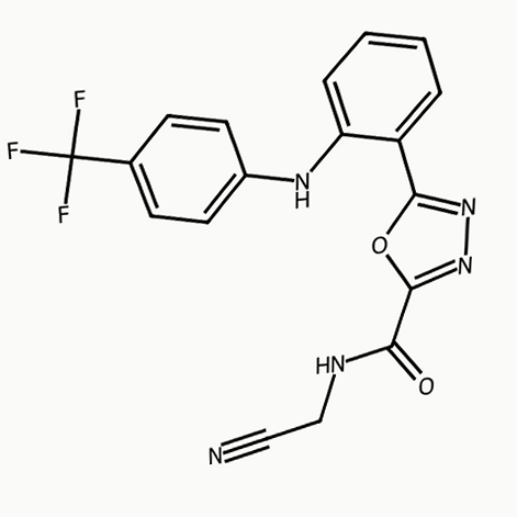 N#CCNC(=O)c1nnc(-c2ccccc2Nc2ccc(C(F)(F)F)cc2)o1